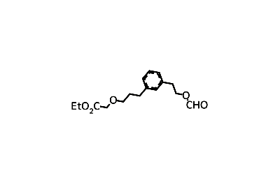 CCOC(=O)COCCCc1cccc(CCOC=O)c1